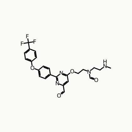 CNCCN(C=O)CCOc1cc(C=O)nc(-c2ccc(Oc3ccc(C(F)(F)F)cc3)cc2)n1